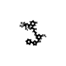 Cc1nc(Nc2ncc(-c3ccccc3)s2)cc(OCCNC(=O)[C@@H]2CNCCN2C(=O)OC(C)(C)C)n1